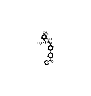 COc1ccc(C)cc1NC(=O)Nc1ccc([C@H]2CC[C@@H](C(=O)N3CCCC3)CC2)cc1